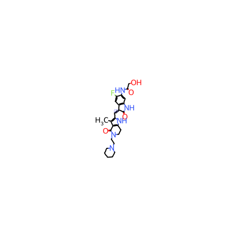 Cc1c(/C=C2\C(=O)Nc3cc(NC(=O)CO)c(F)cc32)[nH]c2c1C(=O)N(CCN1CCCCC1)CC2